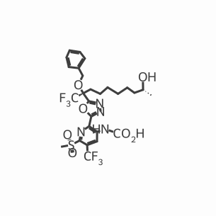 C[C@@H](O)CCCCCC[C@@](OCc1ccccc1)(c1nnc(-c2nc(S(C)(=O)=O)c(C(F)(F)F)cc2NC(=O)O)o1)C(F)(F)F